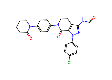 O=CNc1nn(-c2ccc(Cl)cc2)c2c1CCN(c1ccc(N3CCCCC3=O)cc1)C2=O